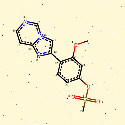 COc1cc(OS(C)(=O)=O)ccc1-c1cn2cnccc2n1